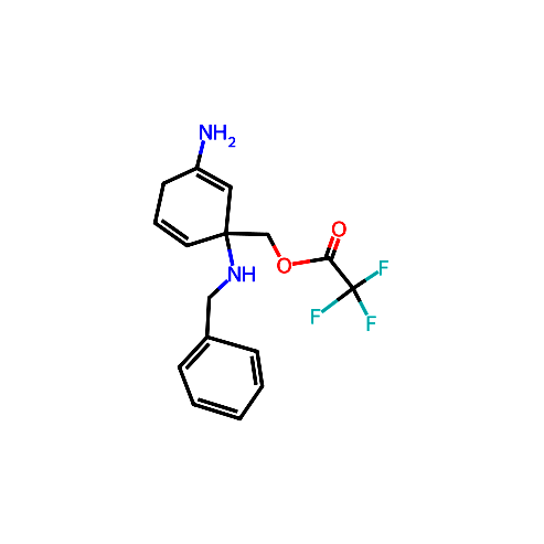 NC1=CC(COC(=O)C(F)(F)F)(NCc2ccccc2)C=CC1